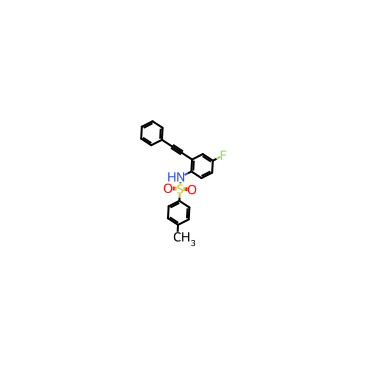 Cc1ccc(S(=O)(=O)Nc2ccc(F)cc2C#Cc2ccccc2)cc1